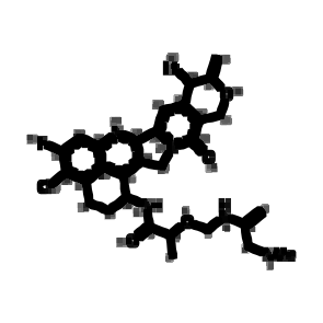 C=C(CNC)NCOC(C)C(=O)NC1CCc2c(Cl)c(F)cc3nc4c(c1c23)Cn1c-4cc2c(c1=O)COC(=C)C2CC